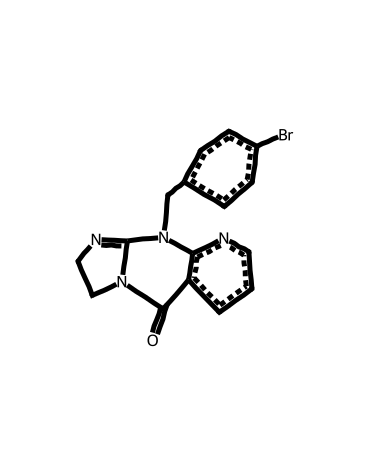 O=C1c2cccnc2N(Cc2ccc(Br)cc2)C2=NCCN12